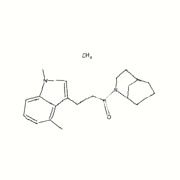 C.Cc1cccc2c1c(CCC(=O)N1CCC3CCCC1C3)cn2C